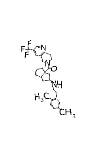 Cc1ccc(C)c(CCNC2CC3CCCC3(C(=O)N3CCc4ncc(C(F)(F)F)cc4C3)C2)c1